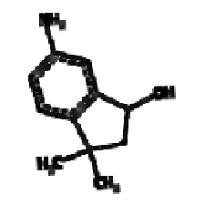 CC1(C)CC(O)c2cc(N)ccc21